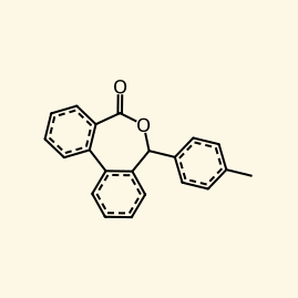 Cc1ccc(C2OC(=O)c3ccccc3-c3ccccc32)cc1